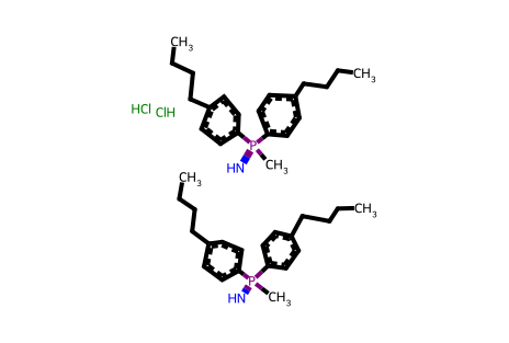 CCCCc1ccc(P(C)(=N)c2ccc(CCCC)cc2)cc1.CCCCc1ccc(P(C)(=N)c2ccc(CCCC)cc2)cc1.Cl.Cl